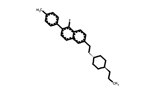 CCC[C@H]1CC[C@H](CCc2ccc3c(F)c(-c4ccc(C)cc4)ccc3c2)CC1